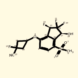 CS(=O)(=O)c1ccc(OC2CC(F)(C#N)C2)c2c1[C@H](O)C(F)(F)[C@@H]2F